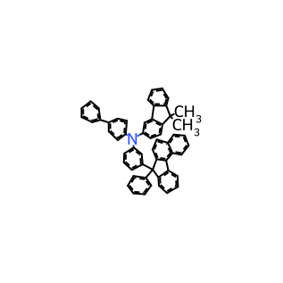 CC1(C)c2ccccc2-c2cc(N(c3ccc(-c4ccccc4)cc3)c3cccc(C4(c5ccccc5)c5ccccc5-c5c4ccc4ccccc54)c3)ccc21